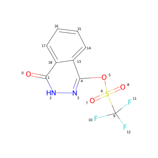 O=c1[nH]nc(OS(=O)(=O)C(F)(F)F)c2ccccc12